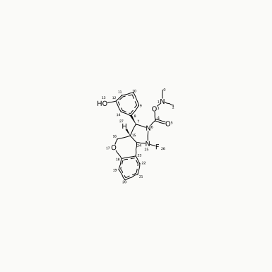 CN(C)OC(=O)N1[C@H](c2cccc(O)c2)[C@H]2COc3ccccc3C2N1F